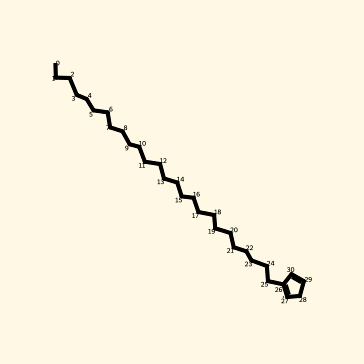 CCCCCCCCCCCCCCCCCCCCCCCCCCC1=[C]CC=C1